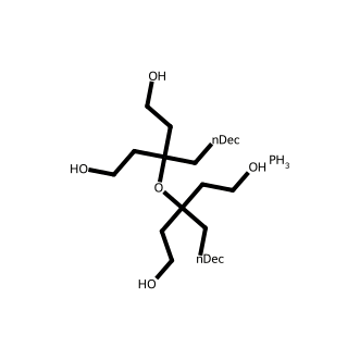 CCCCCCCCCCCC(CCO)(CCO)OC(CCO)(CCO)CCCCCCCCCCC.P